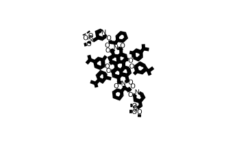 CO[Si](Cc1ccnc(OC(=O)C(C2CCCCC2)N2C(=O)c3cc(Oc4ccc(C(C)C)cc4C)c4c5c(Oc6ccc(C(C)C)cc6C)cc6c7c(cc(Oc8ccc(C(C)C)cc8C)c(c8c(Oc9ccc(C(C)C)cc9C)cc(c3c48)C2=O)c75)C(=O)N(C(C(=O)Oc2cc(C[Si](OC)(OC)OC)ccn2)C2CCCCC2)C6=O)c1)(OC)OC